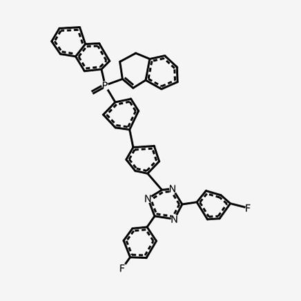 C=P(C1=Cc2ccccc2CC1)(c1ccc(-c2ccc(-c3nc(-c4ccc(F)cc4)nc(-c4ccc(F)cc4)n3)cc2)cc1)c1ccc2ccccc2c1